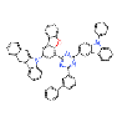 c1ccc(-c2cccc(-c3nc(-c4ccc5c(c4)c4ccccc4n5-c4ccccc4)nc(-c4cc(-n5c6ccccc6c6cc7ccccc7cc65)cc5c4oc4ccccc45)n3)c2)cc1